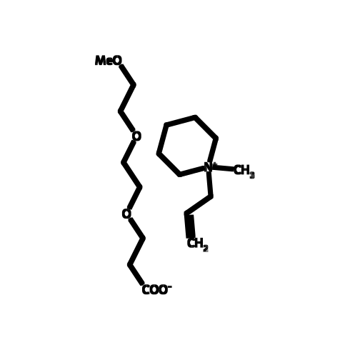 C=CC[N+]1(C)CCCCC1.COCCOCCOCCC(=O)[O-]